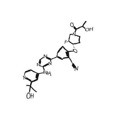 CC(O)C(=O)N1CC[C@H](Oc2ccc(-c3ncnc(Nc4ccnc(C(C)(C)O)c4)n3)cc2C#N)[C@H](F)C1